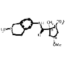 CO[C@H]1CN(C(=O)O)[C@](C)(C(=O)Nc2ccc3c(c2)CCN(C)C3)C1